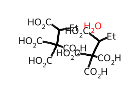 CCC(C(=O)O)C(C(=O)O)(C(=O)O)C(=O)O.CCC(C(=O)O)C(C(=O)O)(C(=O)O)C(=O)O.O